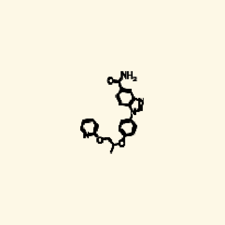 CC(COc1ccccn1)Oc1ccc(-n2cnc3cc(C(N)=O)ccc32)cc1